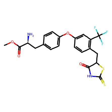 COC(=O)[C@@H](N)Cc1ccc(Oc2ccc(CC3SC(=S)NC3=O)c(C(F)(F)F)c2)cc1